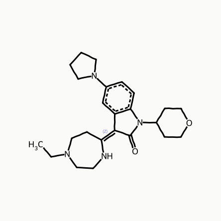 CCN1CCN/C(=C2\C(=O)N(C3CCOCC3)c3ccc(N4CCCC4)cc32)CC1